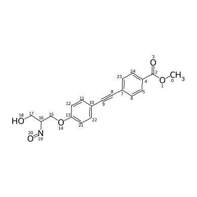 COC(=O)c1ccc(C#Cc2ccc(OCC(CO)N=O)cc2)cc1